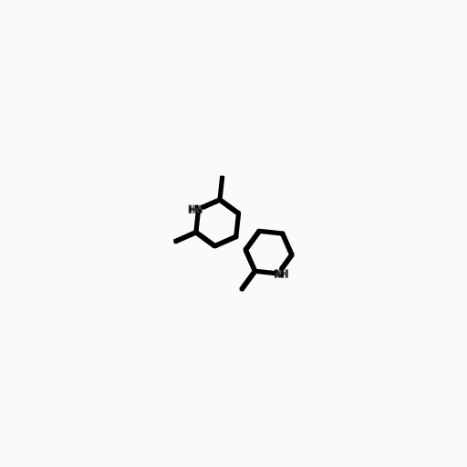 CC1CCCC(C)N1.CC1CCCCN1